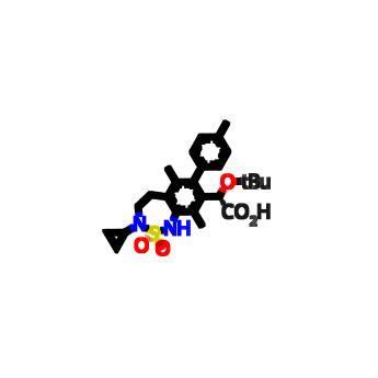 Cc1ccc(-c2c(C)c3c(c(C)c2[C@H](OC(C)(C)C)C(=O)O)NS(=O)(=O)N(C2CC2)CC3)cc1